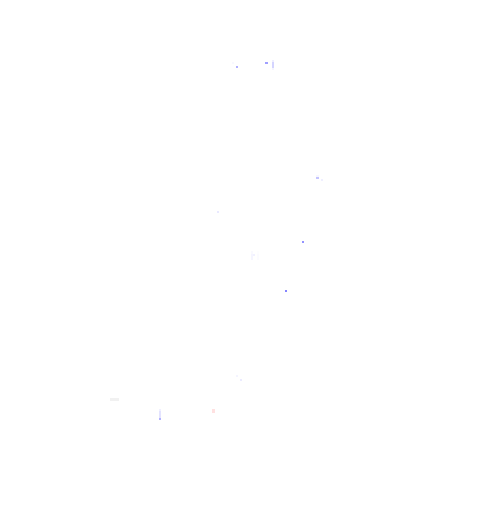 CC(C)n1cc(-c2cccc3[nH]ncc23)c2c(N)nc(Nc3ccc(S(=O)(=O)N(C)C)nc3)nc21